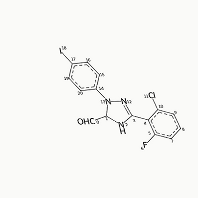 O=CC1NC(c2c(F)cccc2Cl)=NN1c1ccc(I)cc1